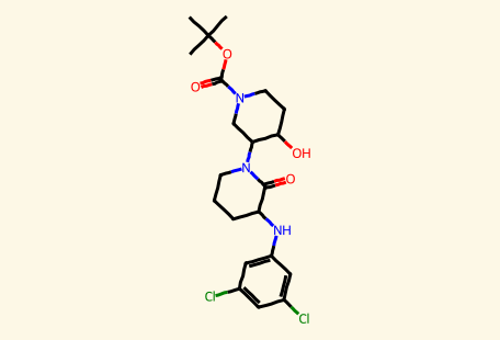 CC(C)(C)OC(=O)N1CCC(O)C(N2CCCC(Nc3cc(Cl)cc(Cl)c3)C2=O)C1